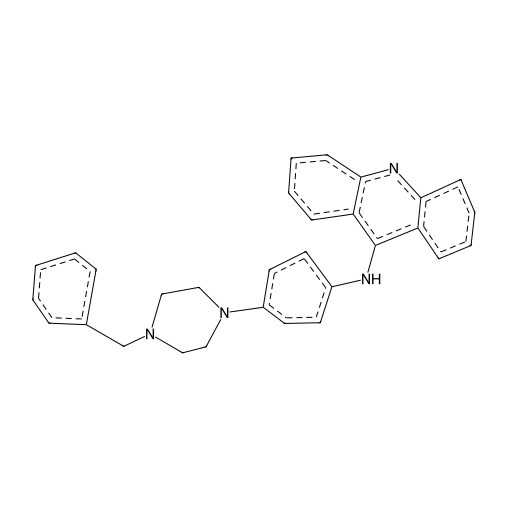 c1ccc(CN2CCN(c3ccc(Nc4c5ccccc5nc5ccccc45)cc3)CC2)cc1